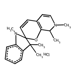 CC1C2=C(C=CN1C)C=CC1(O2)N(C)c2ccccc2C1(C)C.Cl